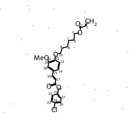 C=CC(=O)OCCCCCCOc1ccc(/C=C/C(=O)Oc2ccc(Cl)cc2)cc1OC